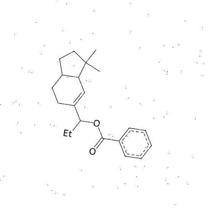 CCC(OC(=O)c1ccccc1)C1=CC2C(CC1)CCC2(C)C